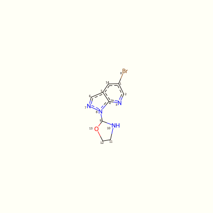 Brc1cnc2c(cnn2C2NCCO2)c1